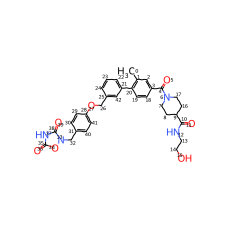 Cc1cc(C(=O)N2CCC(C(=O)NCCO)CC2)ccc1-c1cccc(COc2ccc(Cn3oc(=O)[nH]c3=O)cc2)c1